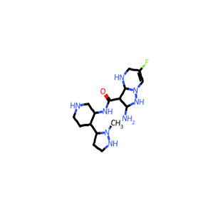 CN1NCCC1C1CCNCC1NC(=O)C1C(N)NN2C=C(F)CNC12